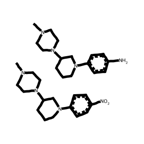 CN1CCN(C2CCCN(c3ccc(N)cc3)C2)CC1.CN1CCN(C2CCCN(c3ccc([N+](=O)[O-])cc3)C2)CC1